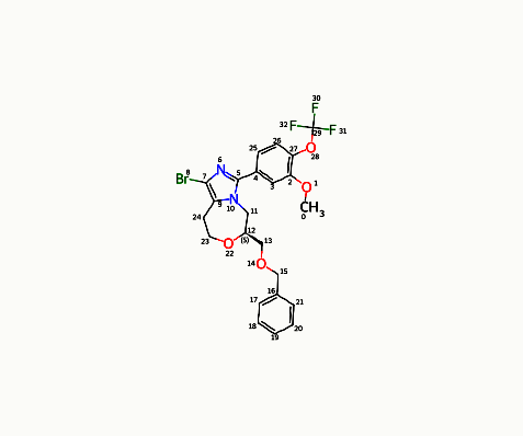 COc1cc(-c2nc(Br)c3n2C[C@@H](COCc2ccccc2)OCC3)ccc1OC(F)(F)F